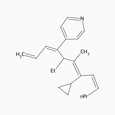 C=C/C=C(/c1ccncc1)C(CC)/C(C)=C(/C=C\CCC)C1CC1